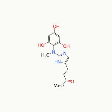 COC(=O)CCc1cnc(N(C)c2c(O)cc(O)cc2O)[nH]1